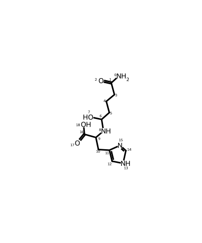 NC(=O)CCCC(O)NC(Cc1c[nH]cn1)C(=O)O